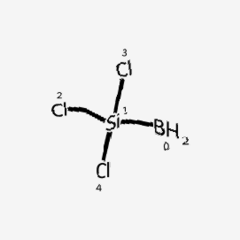 B[Si](Cl)(Cl)Cl